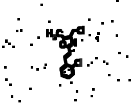 Cc1oc(C=Cc2ccccc2Cl)nc1CCl